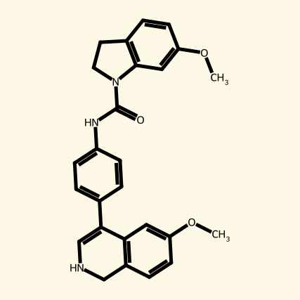 COc1ccc2c(c1)C(c1ccc(NC(=O)N3CCc4ccc(OC)cc43)cc1)=CNC2